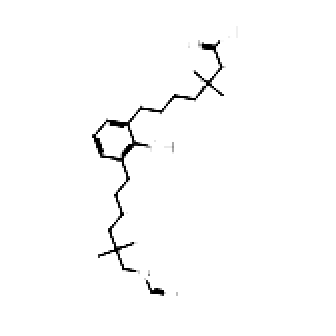 CC(C)(CCCCc1cccc(CCCCC(C)(C)CC(=O)O)c1O)COC=O